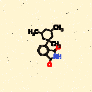 CC1CC(C)CC(C)(c2cccc3c2C(=O)NC3=O)C1